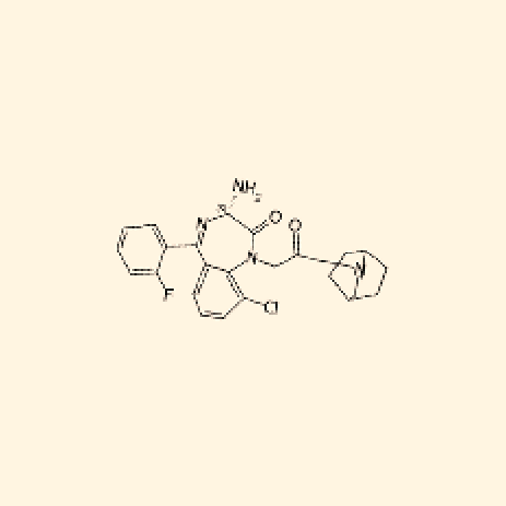 N[C@H]1N=C(c2ccccc2F)c2cccc(Cl)c2N(CC(=O)N2CC3CCC(CC3)C2)C1=O